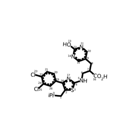 CC(C)Cc1sc(NCC(Cc2cnc(O)nc2)C(=O)O)nc1-c1ccc(Cl)c(Cl)c1